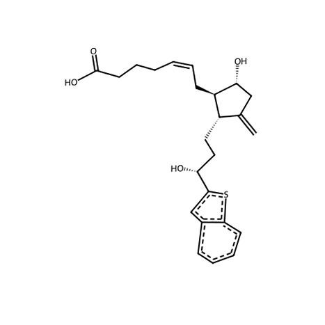 C=C1C[C@@H](O)[C@H](C/C=C\CCCC(=O)O)[C@H]1CC[C@@H](O)c1cc2ccccc2s1